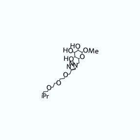 COC1OC(Cn2cc(COCCOCCOCCC(C)C)nn2)C(O)C(O)C1O